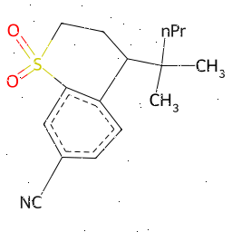 CCCC(C)(C)C1CCS(=O)(=O)c2cc(C#N)ccc21